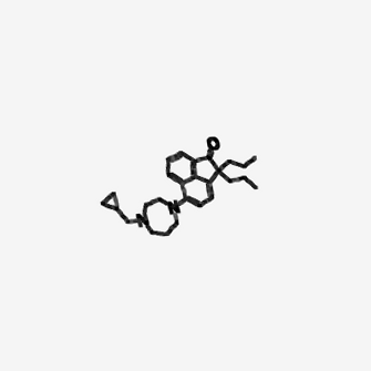 CCCC1(CCC)C(=O)c2cccc3c(N4CCCN(CC5CC5)CC4)ccc1c23